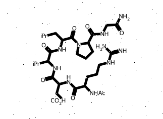 CC(=O)NC(CCCNC(=N)N)C(=O)NC(CC(=O)O)C(=O)NC(C(=O)NC(CC(C)C)C(=O)N1CCCC1C(=O)NCC(N)=O)C(C)C